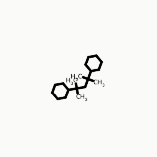 CC(C)(CC(C)(C)C1CCCCC1)C1CCCCC1